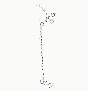 CC(C)c1c(C(=O)Nc2ccc(OCCOCCOCCOCCOCCOCCOCCNC(=O)CCCNC(=O)COc3cccc4c3C(=O)N(C3CCC(=O)NC3=O)C4=O)cc2)c(-c2ccccc2)c(-c2ccc(F)cc2)n1CC[C@@H](O)C[C@@H](O)CC(=O)O